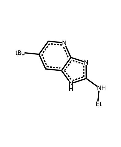 CCNc1nc2ncc(C(C)(C)C)cc2[nH]1